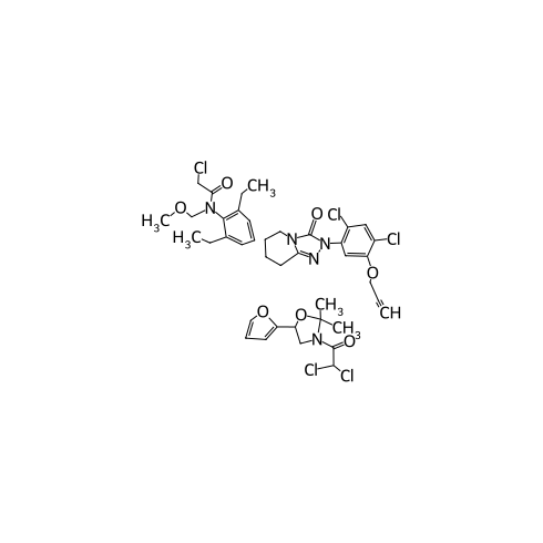 C#CCOc1cc(-n2nc3n(c2=O)CCCC3)c(Cl)cc1Cl.CC1(C)OC(c2ccco2)CN1C(=O)C(Cl)Cl.CCc1cccc(CC)c1N(COC)C(=O)CCl